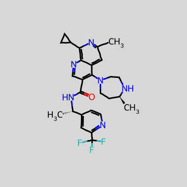 Cc1cc2c(N3CCN[C@@H](C)CC3)c(C(=O)N[C@@H](C)c3ccnc(C(F)(F)F)c3)cnc2c(C2CC2)n1